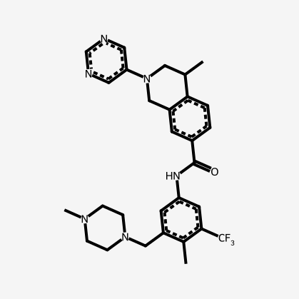 Cc1c(CN2CCN(C)CC2)cc(NC(=O)c2ccc3c(c2)CN(c2cncnc2)CC3C)cc1C(F)(F)F